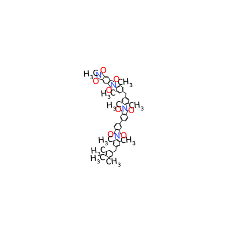 Cc1cc(Cc2cc(C)c(N3C(=O)c4ccc(-c5ccc6c(c5)C(=O)N(c5c(C)cc(Cc7cc(C)c(-n8c(=O)c9cc%10c(=O)n(C)c(=O)c%10cc9c8=O)c(C)c7)cc5C)C6=O)cc4C3=O)c(C)c2)cc(C)c1C